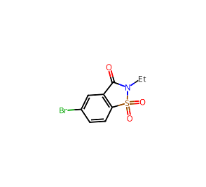 CCN1C(=O)c2cc(Br)ccc2S1(=O)=O